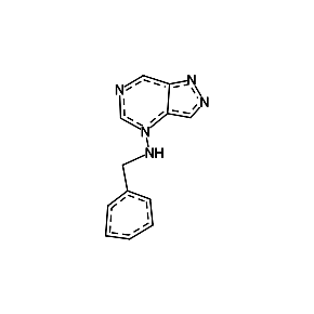 c1ccc(CNn2cncc3nncc2-3)cc1